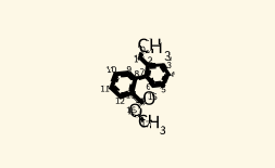 CCc1ccccc1-c1ccccc1C(=O)OC